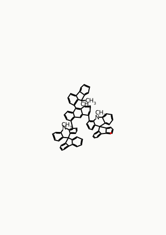 CN1c2ccccc2C2(c3ccccc3-c3ccccc32)c2cccc(-c3cccc4c(-c5cccc6c5C(C)(C)c5ccccc5-6)c5cccc(-c6cccc7c6N(C)c6ccccc6C76c7ccccc7-c7ccccc76)c5cc34)c21